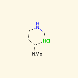 CNC1CCNCC1.Cl